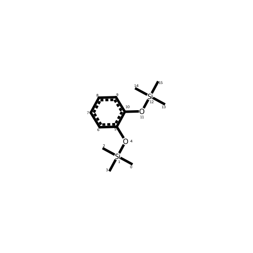 C[Si](C)(C)Oc1ccccc1O[Si](C)(C)C